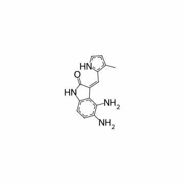 Cc1cc[nH]c1/C=C1\C(=O)Nc2ccc(N)c(N)c21